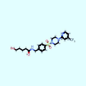 O=C(CCCCBr)NCc1ccc(S(=O)(=O)N2CCN(c3cc(C(F)(F)F)ccn3)CC2)cc1